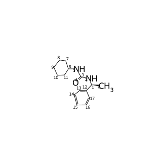 C[C@H](NC(=O)NC1CCCCC1)c1ccccc1